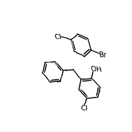 Clc1ccc(Br)cc1.Oc1ccc(Cl)cc1Cc1ccccc1